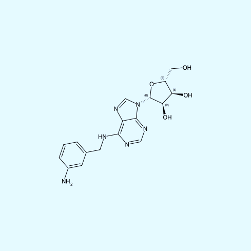 Nc1cccc(CNc2ncnc3c2ncn3[C@@H]2O[C@H](CO)[C@@H](O)[C@H]2O)c1